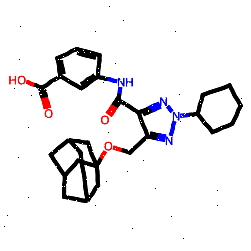 O=C(O)c1cccc(NC(=O)c2nn(C3CCCCC3)nc2COC23CC4CC(CC(C4)C2)C3)c1